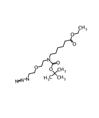 CCOC(=O)CCCCCN(CCOCCN=[N+]=[N-])C(=O)OC(C)(C)C